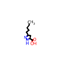 CCCCCC1=NNC(C(=O)O)C1